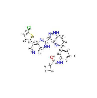 Cc1cc(NC(=O)C2CCC2)cc(-c2ccc3[nH]nc(-c4nc5c(-c6ccc(Cl)s6)cncc5[nH]4)c3n2)c1